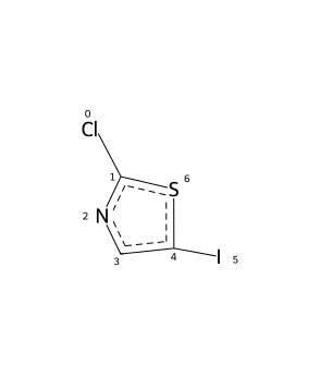 Clc1ncc(I)s1